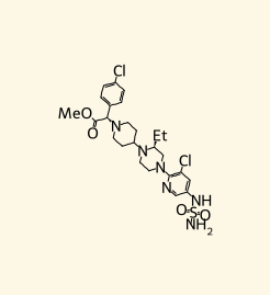 CC[C@H]1CN(c2ncc(NS(N)(=O)=O)cc2Cl)CCN1C1CCN([C@@H](C(=O)OC)c2ccc(Cl)cc2)CC1